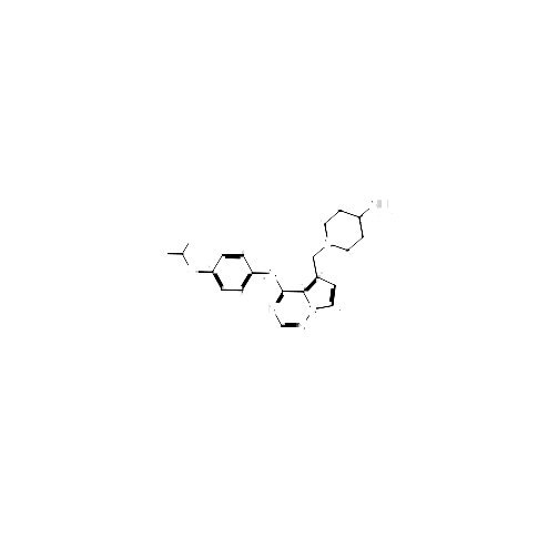 CC(C)Oc1ccc(Nc2ncnn3ccc(CN4CCC(N)CC4)c23)cc1